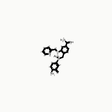 CC(=O)N(Cc1ccc(C(=N)N)cc1OCc1ccccn1)c1ccc(N)c(C)c1